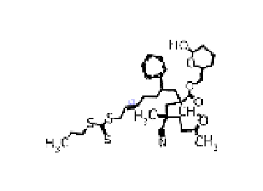 CCCSC(=S)SC/C=C/CCC(CC(C)(CC(C)(C#N)CCC(C)=O)C(=O)OCC1CCCC(O)O1)c1ccccc1